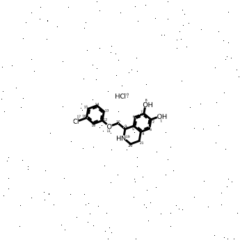 Cl.Oc1cc2c(cc1O)C(COc1cccc(Cl)c1)NCC2